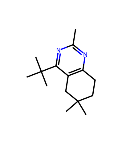 Cc1nc2c(c(C(C)(C)C)n1)CC(C)(C)CC2